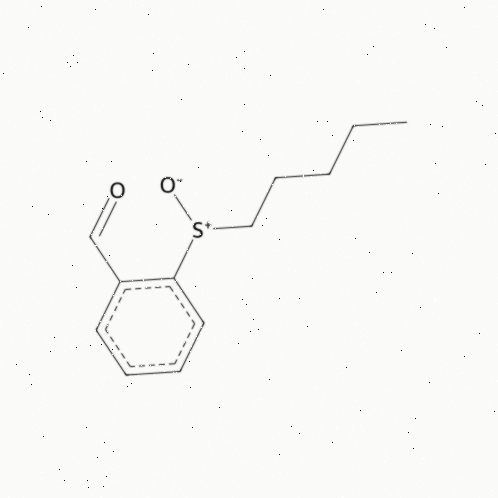 CCCCC[S+]([O-])c1ccccc1C=O